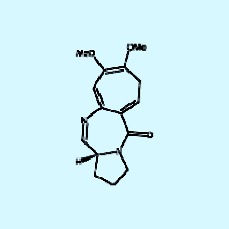 COC1=C(OC)CC=C2C(=O)N3CCC[C@@H]3C=NC2=C1